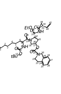 C=CCCCCC[C@H](NC(=O)OC(C)(C)C)C(=O)N1C[C@H](OC(=O)N2CCc3ccccc3C2)C[C@H]1C(=O)N[C@]1(C(=O)OCC)C[C@H]1C=C